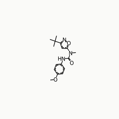 COc1ccc(NC(=O)N(C)c2cc(C(C)(C)C)no2)cc1